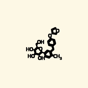 Cc1ccc([C@@H]2O[C@H](CO)[C@@H](O)C(O)[C@H]2O)cc1Cc1ccc(O[C@@H]2CCOC2)cc1